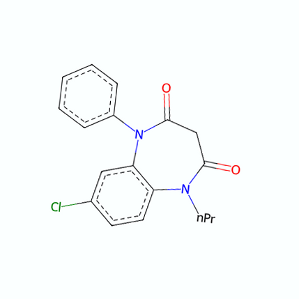 CCCN1C(=O)CC(=O)N(c2ccccc2)c2cc(Cl)ccc21